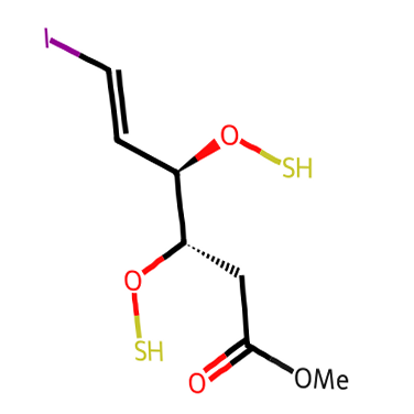 COC(=O)C[C@H](OS)[C@@H](/C=C/I)OS